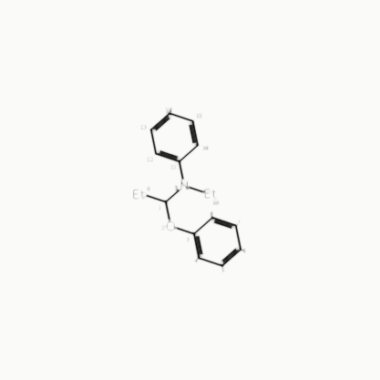 CCC(Oc1ccccc1)N(CC)c1ccccc1